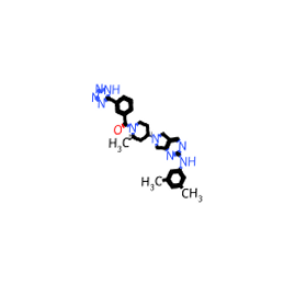 Cc1cc(C)cc(Nc2ncc3c(n2)CN([C@H]2CCN(C(=O)c4cccc(-c5nnn[nH]5)c4)[C@@H](C)C2)C3)c1